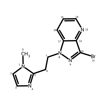 Cn1ccnc1CCn1nc(Br)c2ncccc21